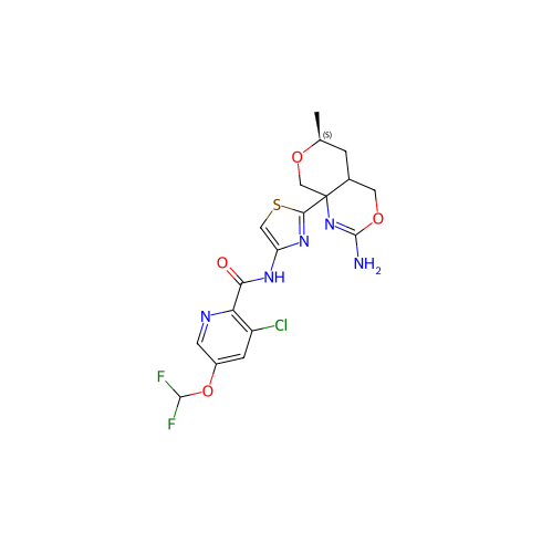 C[C@H]1CC2COC(N)=NC2(c2nc(NC(=O)c3ncc(OC(F)F)cc3Cl)cs2)CO1